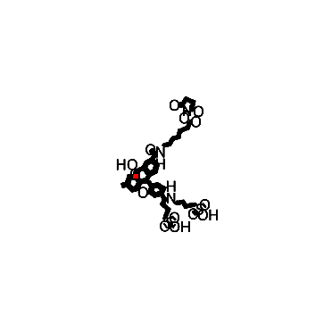 C=c1ccc2c(c1)Oc1cc(C(CCCS(=O)(=O)O)NCCCCS(=O)(=O)O)ccc1C=2c1ccc(C(=O)NCCCCCCC(=O)ON2C(=O)CCC2=O)cc1C(=O)O